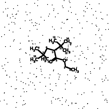 CCOC(=O)C(CC(C)(C)C)C(C)(C)C